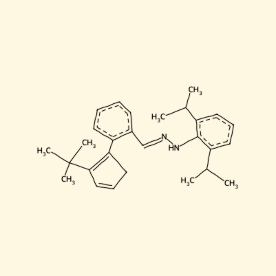 CC(C)c1cccc(C(C)C)c1N/N=C/c1ccccc1C1=C(C(C)(C)C)C=CC1